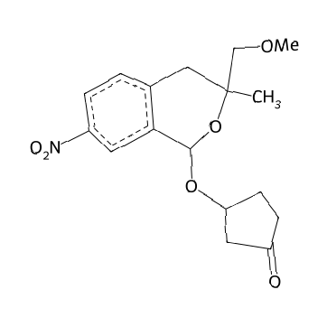 COCC1(C)Cc2ccc([N+](=O)[O-])cc2C(OC2CCC(=O)C2)O1